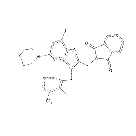 Cc1c(Cc2c(CN3C(=O)c4ccccc4C3=O)nc3c(I)cc(N4CCOCC4)nn23)cccc1C(F)(F)F